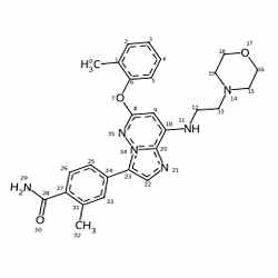 Cc1ccccc1Oc1cc(NCCN2CCOCC2)c2ncc(-c3ccc(C(N)=O)c(C)c3)n2n1